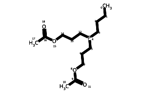 CCCCP(CCCOC(C)=O)CCCOC(C)=O